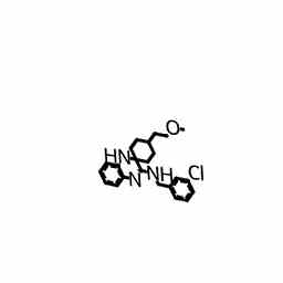 COCCC1CCC2(CC1)Nc1ccccc1N=C2NCc1cccc(Cl)c1